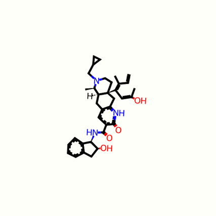 C=C/C(C)=C(\C=C(/C)O)[C@]12CCN(CC3CC3)[C@H](C)[C@@H]1Cc1cc(C(=O)N[C@@H]3c4ccccc4C[C@@H]3O)c(=O)[nH]c1C2